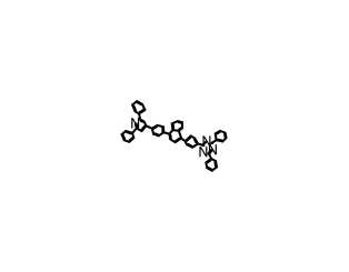 c1ccc(-c2cc(-c3ccc(-c4ccc(-c5ccc(-c6nc(-c7ccccc7)nc(-c7ccccc7)n6)cc5)c5ccccc45)cc3)cc(-c3ccccc3)n2)cc1